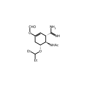 CCC(CC)O[C@@H]1CC(OC=O)=C[C@H](C(=N)N)[C@H]1NC(C)=O